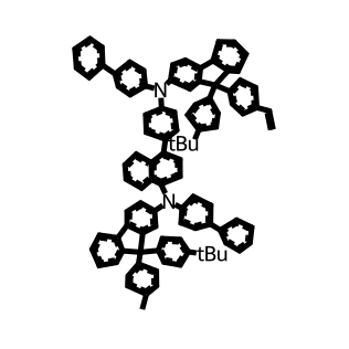 C=Cc1ccc(C2(c3ccc(C(C)(C)C)cc3)c3ccccc3-c3ccc(N(c4ccc(-c5ccccc5)cc4)c4ccc(-c5ccc(N(c6ccc(-c7ccccc7)cc6)c6ccc7c(c6)C(c6ccc(C)cc6)(c6ccc(C(C)(C)C)cc6)c6ccccc6-7)c6ccccc56)cc4)cc32)cc1